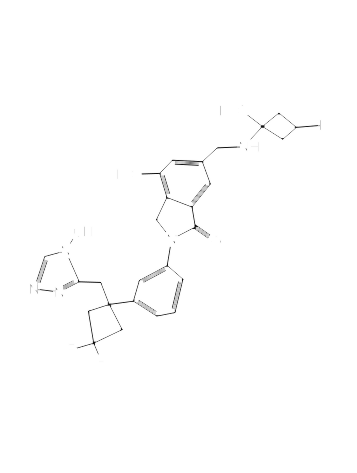 Cn1cnnc1CC1(c2cccc(N3Cc4c(cc(CNC5(C)CC(F)C5)cc4C(F)(F)F)C3=O)c2)CC(F)(F)C1